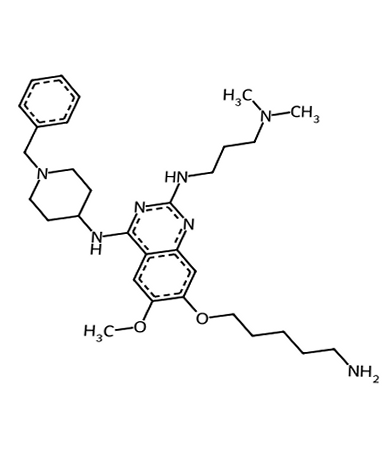 COc1cc2c(NC3CCN(Cc4ccccc4)CC3)nc(NCCCN(C)C)nc2cc1OCCCCCN